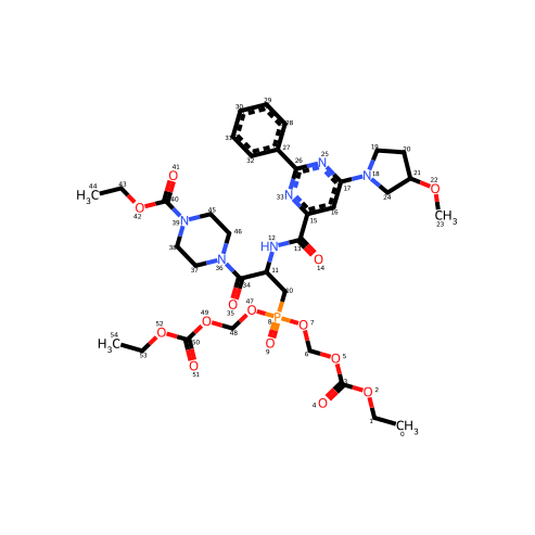 CCOC(=O)OCOP(=O)(CC(NC(=O)c1cc(N2CCC(OC)C2)nc(-c2ccccc2)n1)C(=O)N1CCN(C(=O)OCC)CC1)OCOC(=O)OCC